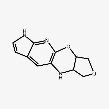 c1cc2cc3c(nc2[nH]1)OC1COCC1N3